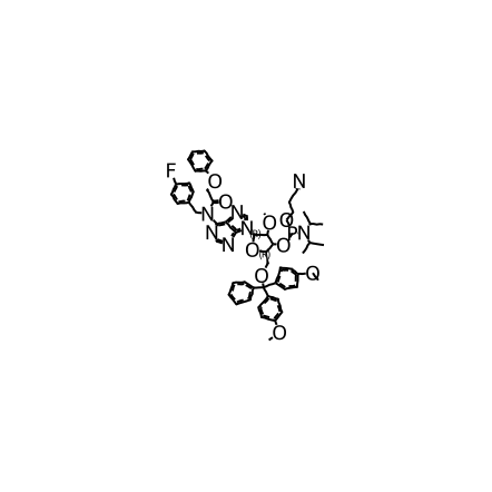 COc1ccc(C(OC[C@H]2O[C@@H](n3cnc4c(N(Cc5ccc(F)cc5)C(=O)COc5ccccc5)ncnc43)C(OC)C2OP(OCCC#N)N(C(C)C)C(C)C)(c2ccccc2)c2ccc(OC)cc2)cc1